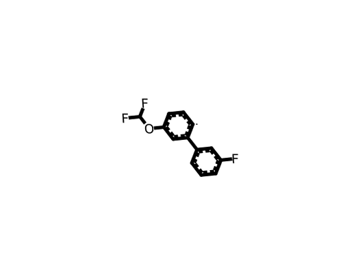 Fc1cccc(-c2[c]ccc(OC(F)F)c2)c1